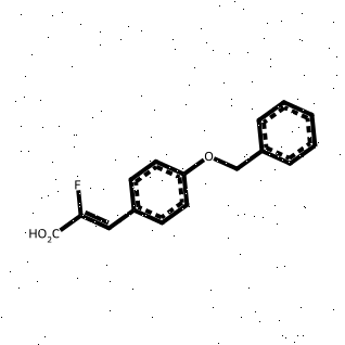 O=C(O)C(F)=Cc1ccc(OCc2ccccc2)cc1